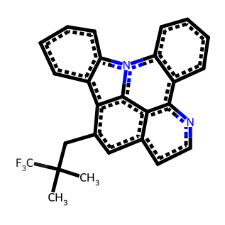 CC(C)(Cc1cc2ccnc3c4ccccc4n4c5ccccc5c1c4c23)C(F)(F)F